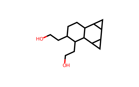 OCCC1CCC2C3CC3C3CC3C2C1CCO